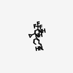 C\C=C/C(=C\C=C\NC)N/C(=C\C(=N)C(F)(F)F)C1CC1